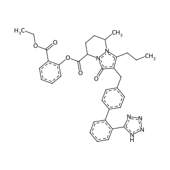 CCCc1c(Cc2ccc(-c3ccccc3-c3nnn[nH]3)cc2)c(=O)n2n1C(C)CCC2C(=O)Oc1ccccc1C(=O)OCC